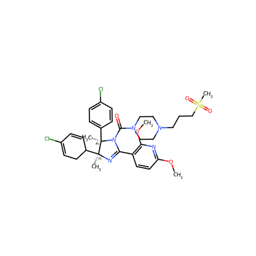 COc1ccc(C2=N[C@@](C)(C3C=CC(Cl)=CC3)[C@@](C)(c3ccc(Cl)cc3)N2C(=O)N2CCN(CCCS(C)(=O)=O)CC2)c(OC)n1